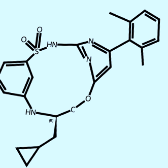 Cc1cccc(C)c1-c1cc2nc(n1)NS(=O)(=O)c1cccc(c1)N[C@H](CC1CC1)CO2